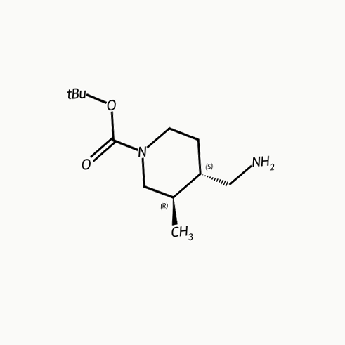 C[C@H]1CN(C(=O)OC(C)(C)C)CC[C@@H]1CN